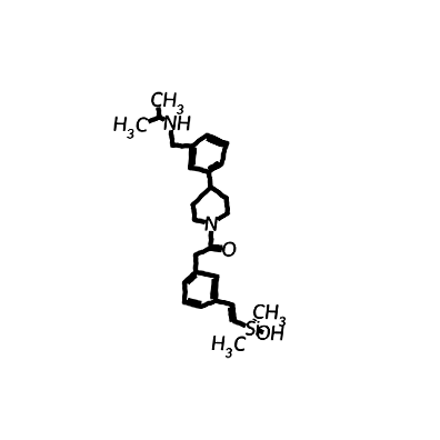 CC(C)NCc1cccc(C2CCN(C(=O)Cc3cccc(/C=C/[Si](C)(C)O)c3)CC2)c1